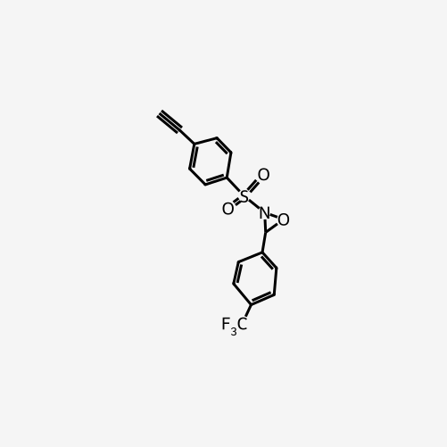 C#Cc1ccc(S(=O)(=O)N2OC2c2ccc(C(F)(F)F)cc2)cc1